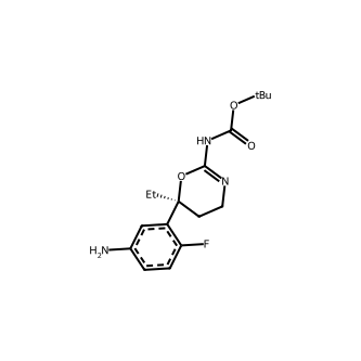 CC[C@@]1(c2cc(N)ccc2F)CCN=C(NC(=O)OC(C)(C)C)O1